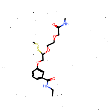 CCNC(=O)c1cccc(OCC(OCCOCC(=O)NC)SSC)c1